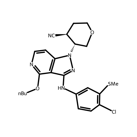 CCCCOc1nccc2c1c(Nc1ccc(Cl)c(SC)c1)nn2[C@H]1COCC[C@@H]1C#N